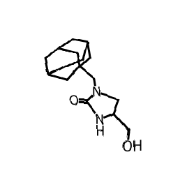 O=C1NC(CO)CN1CC12CC3CC(CC(C3)C1)C2